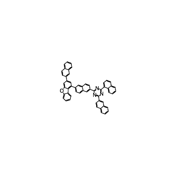 c1ccc2cc(-c3cc(-c4ccc5cc(-c6nc(-c7ccc8ccccc8c7)nc(-c7cccc8ccccc78)n6)ccc5c4)c4c(c3)oc3ccccc34)ccc2c1